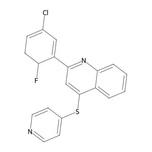 FC1CC=C(Cl)C=C1c1cc(Sc2ccncc2)c2ccccc2n1